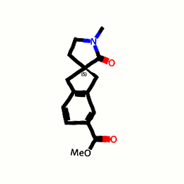 COC(=O)c1ccc2c(c1)C[C@]1(CCN(C)C1=O)C2